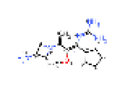 C=C(/C(OC)=C(\N=C(N)N)C1CCCC1)N1CC(N)C1